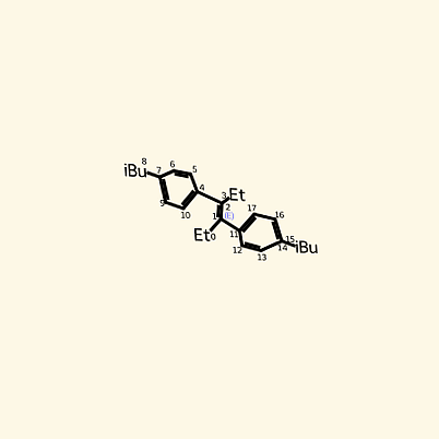 CC/C(=C(/CC)c1ccc(C(C)CC)cc1)c1ccc(C(C)CC)cc1